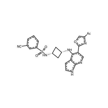 CC(=O)c1coc(-c2cnc3[nH]ccc3c2N[C@H]2C[C@@H](NS(=O)(=O)c3cccc(C#N)c3)C2)n1